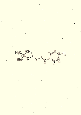 CC(C)(C)[Si](C)(C)OCCCOc1ccc(Cl)nn1